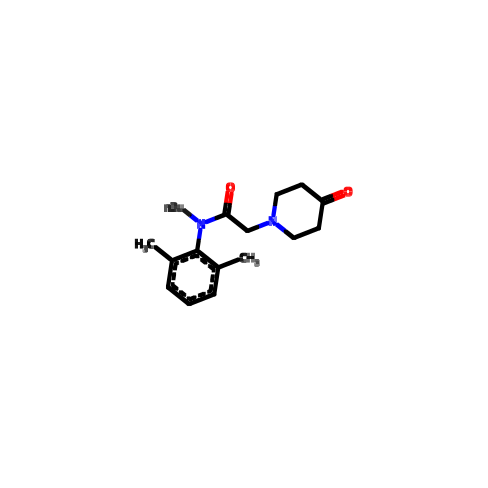 CCCCN(C(=O)CN1CCC(=O)CC1)c1c(C)cccc1C